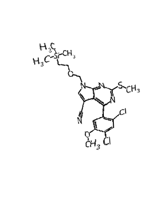 COc1cc(-c2nc(SC)nc3c2c(C#N)cn3COCC[Si](C)(C)C)c(Cl)cc1Cl